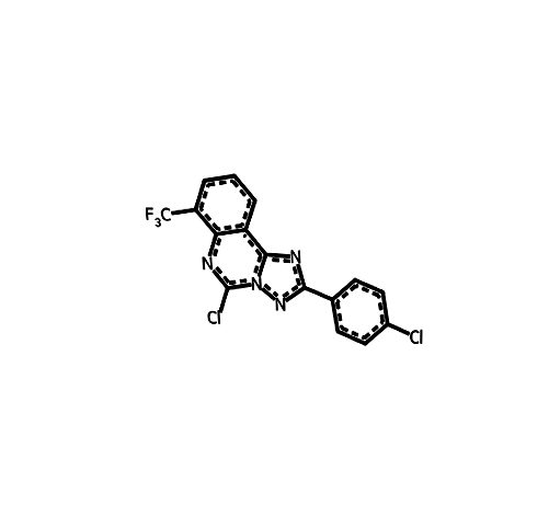 FC(F)(F)c1cccc2c1nc(Cl)n1nc(-c3ccc(Cl)cc3)nc21